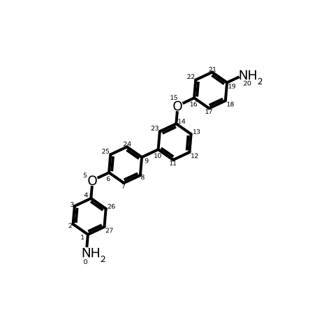 Nc1ccc(Oc2ccc(-c3cccc(Oc4ccc(N)cc4)c3)cc2)cc1